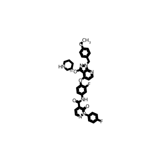 COc1ccc(Cn2nc(O[C@H]3CCCNC3)c3c(Oc4ccc(NC(=O)c5ccnn(-c6ccc(F)cc6)c5=O)cc4F)ccnc32)cc1